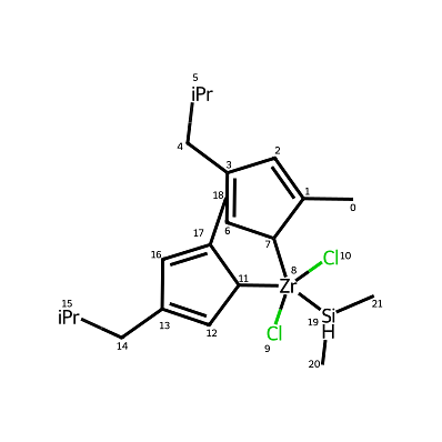 CC1=CC(CC(C)C)=C[CH]1[Zr]([Cl])([Cl])([CH]1C=C(CC(C)C)C=C1C)[SiH](C)C